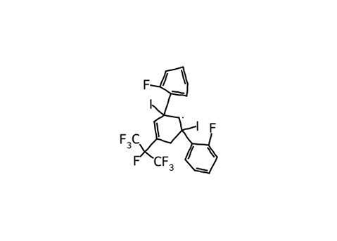 Fc1ccccc1C1(I)[CH]C(I)(c2ccccc2F)CC(C(F)(C(F)(F)F)C(F)(F)F)=C1